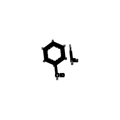 CCCCI.O=Cc1ccccc1